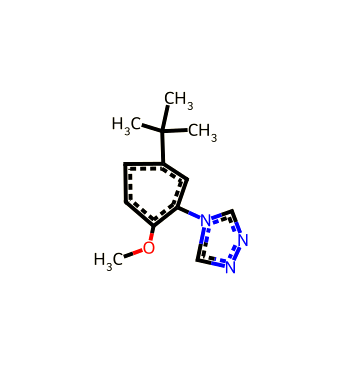 COc1ccc(C(C)(C)C)cc1-n1cnnc1